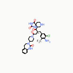 Nc1c(Cl)cc(C[C@@H](CC(=O)N2CCC(N3CCc4ccccc4NC3=O)CC2)C(=O)C2CNCCC23NC(=O)NC3=O)cc1C(F)(F)F